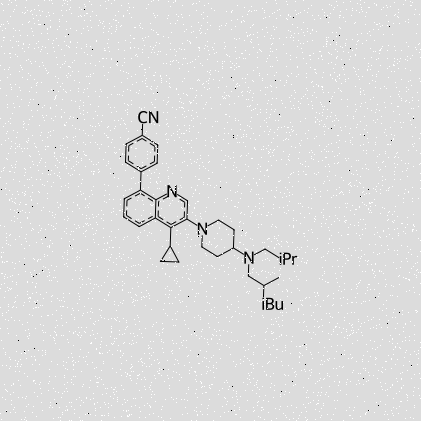 CCC(C)C(C)CN(CC(C)C)C1CCN(c2cnc3c(-c4ccc(C#N)cc4)cccc3c2C2CC2)CC1